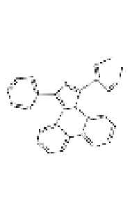 C/C=C\C(=C/C)c1nc(-c2ccccc2)c2c3ccccc3c3ccccc3n12